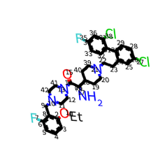 CCOc1cccc(F)c1CN1CCN(C(=O)[C@H](N)C2CCN(CCc3cc(Cl)ccc3-c3ccc(F)cc3Cl)CC2)CC1